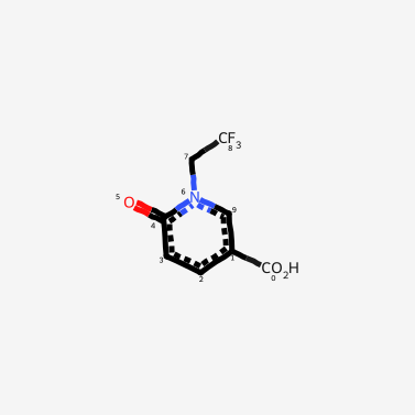 O=C(O)c1ccc(=O)n(CC(F)(F)F)c1